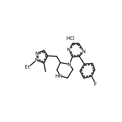 CCn1ncc(CC2CNCCN2c2nccnc2-c2ccc(F)cc2)c1C.Cl